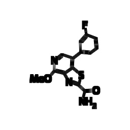 COc1ncc(-c2cccc(F)c2)c2sc(C(N)=O)nc12